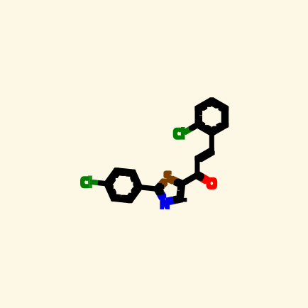 O=C(C=Cc1ccccc1Cl)c1[c]nc(-c2ccc(Cl)cc2)s1